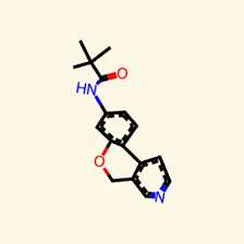 CC(C)(C)C(=O)Nc1ccc2c(c1)OCc1cnccc1-2